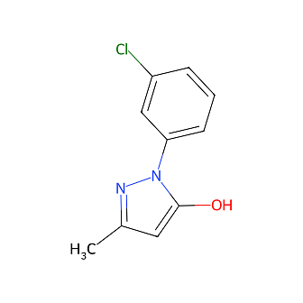 Cc1cc(O)n(-c2cccc(Cl)c2)n1